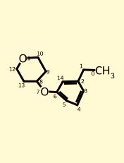 CCc1cccc(OC2CCOCC2)c1